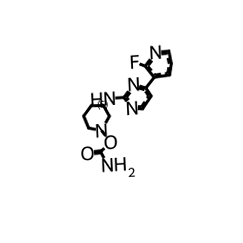 NC(=O)ON1CCC[C@H](Nc2nccc(-c3cccnc3F)n2)C1